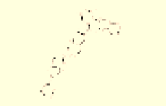 c1ccc(C2Nc3ccc(-c4ccc5cc(-c6cc7c8ccccc8oc7c7ccccc67)ccc5c4)cc3N2)cc1